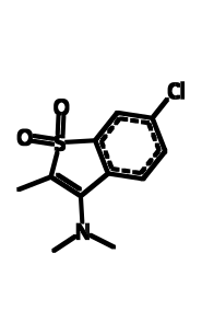 CC1=C(N(C)C)c2ccc(Cl)cc2S1(=O)=O